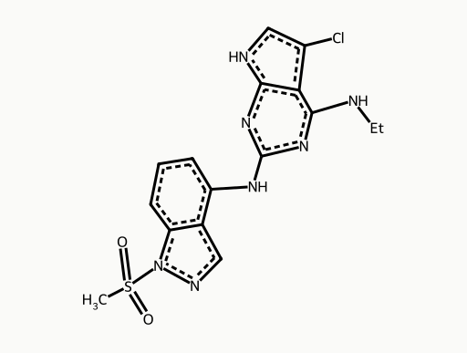 CCNc1nc(Nc2cccc3c2cnn3S(C)(=O)=O)nc2[nH]cc(Cl)c12